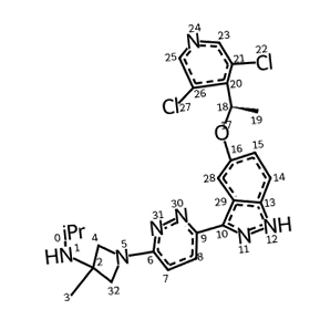 CC(C)NC1(C)CN(c2ccc(-c3n[nH]c4ccc(O[C@H](C)c5c(Cl)cncc5Cl)cc34)nn2)C1